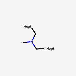 [CH2]N(CCCCCCCC)CCCCCCCC